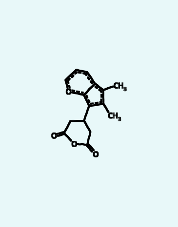 Cc1c2cccoc-2c(C2CC(=O)OC(=O)C2)c1C